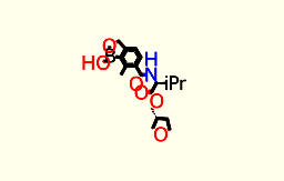 Cc1c(C(=O)N[C@H](C(=O)OC[C@@H]2CCOC2)C(C)C)ccc2c1B(O)OC2